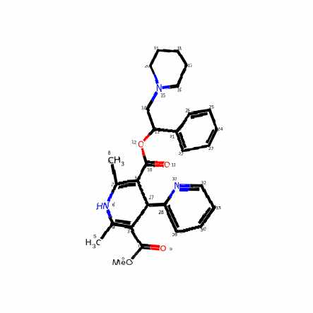 COC(=O)C1=C(C)NC(C)=C(C(=O)OC(CN2CCCCC2)c2ccccc2)C1c1ccccn1